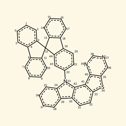 c1ccc2c(c1)-c1ccccc1C21c2ccccc2-c2ccc(-n3c4ccccc4c4ccc5sc6cncnc6c5c43)cc21